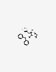 CC1(Cc2c[nH]nn2)C(C(=O)OC(c2ccccc2)c2ccccc2)N2C(=O)C[C@H]2S1(=O)=O